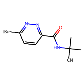 CC(C)(C#N)NC(=O)c1ccc(C(C)(C)C)nn1